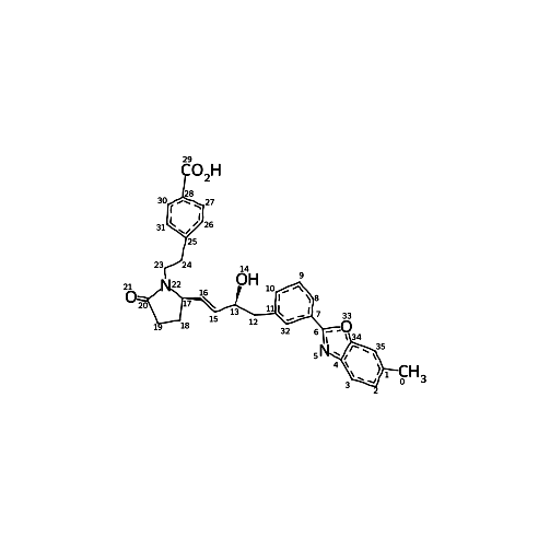 Cc1ccc2nc(-c3cccc(C[C@H](O)/C=C/[C@H]4CCC(=O)N4CCc4ccc(C(=O)O)cc4)c3)oc2c1